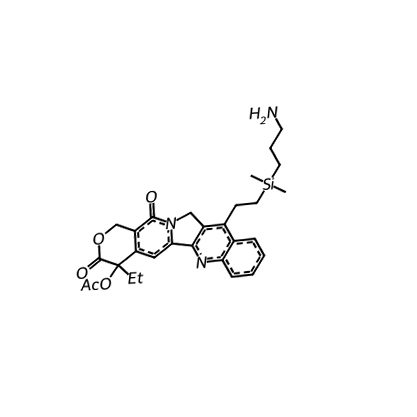 CCC1(OC(C)=O)C(=O)OCc2c1cc1n(c2=O)Cc2c-1nc1ccccc1c2CC[Si](C)(C)CCCN